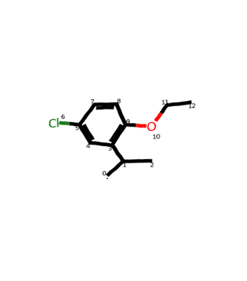 [CH2]C(C)c1cc(Cl)ccc1OCC